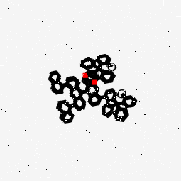 c1ccc(C2(c3ccccc3)c3ccccc3Oc3ccc(-c4cccc5c(-c6c7cccc(-c8cccc9ccccc89)c7cc7c(-c8cccc9ccccc89)cccc67)c6cccc(-c7cccc8c7C(c7ccccc7)(c7ccccc7)c7ccccc7O8)c6cc45)cc32)cc1